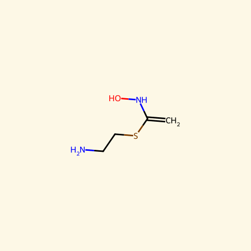 C=C(NO)SCCN